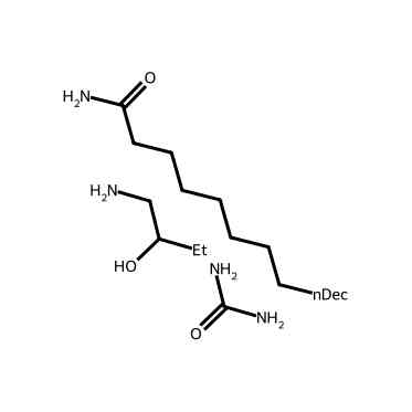 CCC(O)CN.CCCCCCCCCCCCCCCCCC(N)=O.NC(N)=O